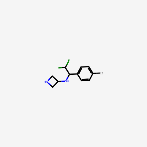 CCc1ccc(C(NC2CNC2)C(F)F)cc1